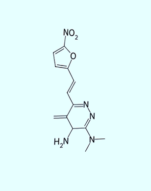 C=C1C(C=Cc2ccc([N+](=O)[O-])o2)=NN=C(N(C)C)C1N